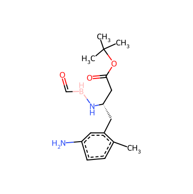 Cc1ccc(N)cc1C[C@@H](CC(=O)OC(C)(C)C)NBC=O